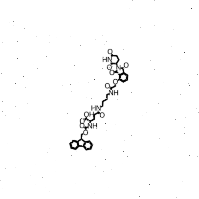 O=C(CCC(NC(=O)OCC1c2ccccc2-c2ccccc21)C(=O)O)NCCCCNC(=O)COc1cccc2c1C(=O)N(C1CCC(=O)NC1=O)C2=O